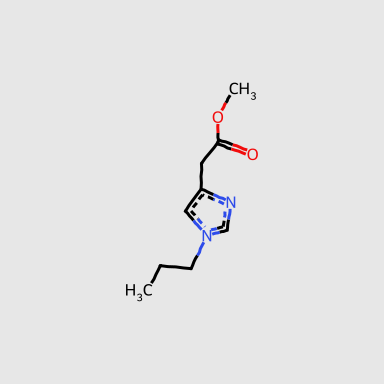 CCCn1cnc(CC(=O)OC)c1